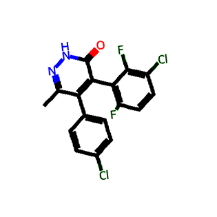 Cc1n[nH]c(=O)c(-c2c(F)ccc(Cl)c2F)c1-c1ccc(Cl)cc1